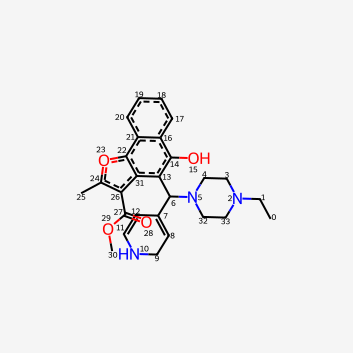 CCN1CCN(C(C2=CCNC=C2)c2c(O)c3ccccc3c3oc(C)c(C(=O)OC)c23)CC1